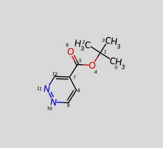 CC(C)(C)OC(=O)c1ccnnc1